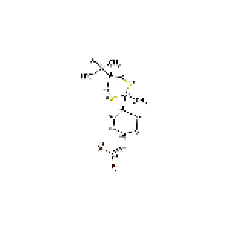 CC(C)(C)C1CSC(C)(C2CCC(C=C(Br)Br)CC2)SC1